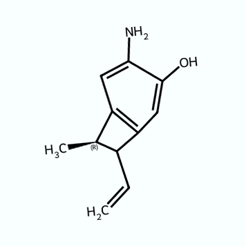 C=CC1c2cc(O)c(N)cc2[C@@H]1C